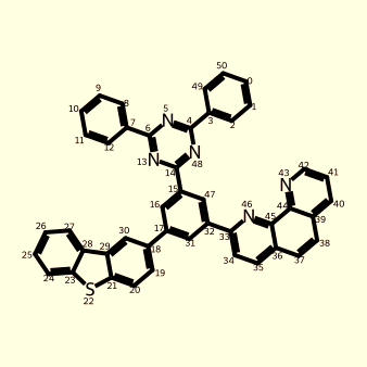 c1ccc(-c2nc(-c3ccccc3)nc(-c3cc(-c4ccc5sc6ccccc6c5c4)cc(-c4ccc5ccc6cccnc6c5n4)c3)n2)cc1